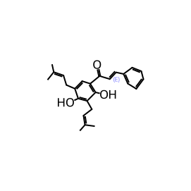 CC(C)=CCc1cc(C(=O)/C=C/c2ccccc2)c(O)c(CC=C(C)C)c1O